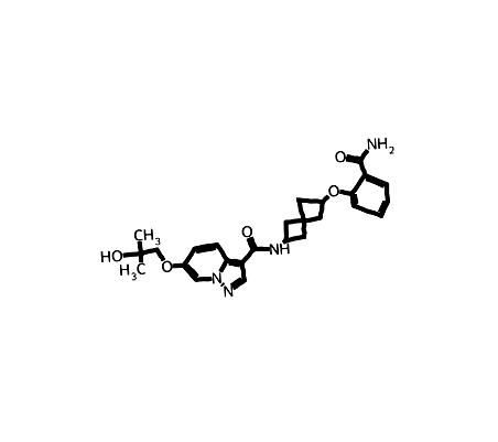 CC(C)(O)COc1ccc2c(C(=O)NC3CC4(C3)CC(Oc3ccccc3C(N)=O)C4)cnn2c1